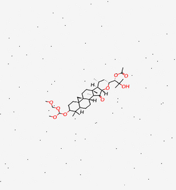 COCO[C@H](OC)OC1CCC23C[C@]24CC[C@]2(C)[C@H]5[C@H](C)C[C@H]([C@H](OC(C)=O)C(C)(C)O)O[C@@H]5C(=O)[C@@]2(C)[C@@H]4CC[C@H]3C1(C)C